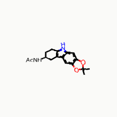 CC(=O)NC1CCc2[nH]c3cc4c(cc3c2C1)OC(C)(C)O4